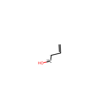 C=C[CH][14CH2]O